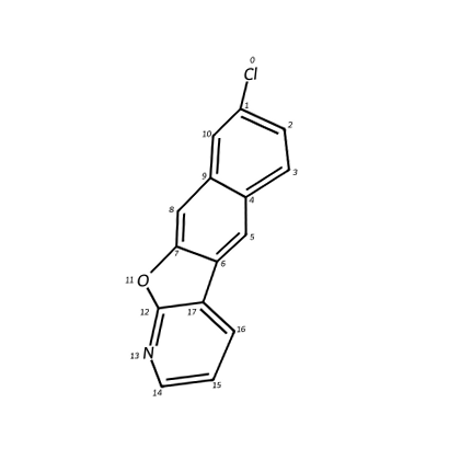 Clc1ccc2cc3c(cc2c1)oc1ncccc13